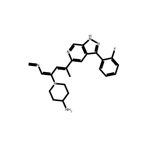 C=N/C=C(\C=C(/C)c1cc2c(-c3ccccc3F)n[nH]c2cn1)N1CCC(N)CC1